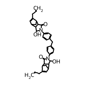 C=CCC1=CC2CC1C1C(=O)N(c3ccc(Cc4ccc(N5C(=O)C6C7CC(C=C7CC=C)C6C5O)cc4)cc3)C(O)C21